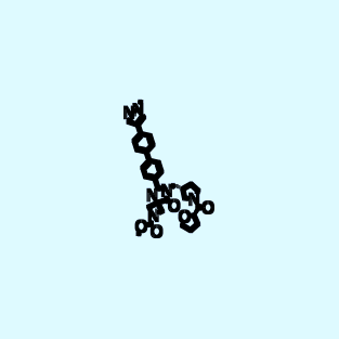 COC(=O)N1CC2(C1)N=C(c1ccc(-c3ccc(-c4cnn(C)c4)cc3)cc1)N(C[C@@H]1CCN(C(=O)[C@H]3CCCO3)C1)C2=O